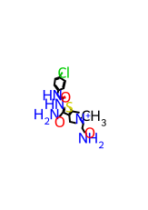 C[N+]1(CCC(N)=O)CCc2c(sc(NC(=O)Nc3ccc(Cl)cc3)c2C(N)=O)C1